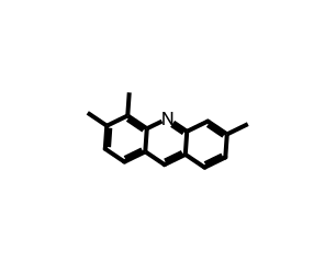 Cc1ccc2cc3ccc(C)c(C)c3nc2c1